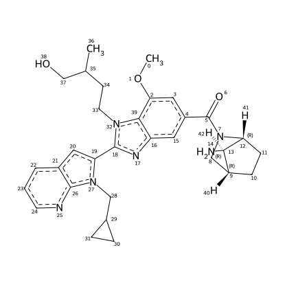 COc1cc(C(=O)N2C[C@H]3CC[C@@H]2[C@@H]3N)cc2nc(-c3cc4cccnc4n3CC3CC3)n(CCC(C)CO)c12